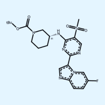 CC(C)(C)OC(=O)N1CCC[C@@H](Nc2nc(-c3cnc4ccc(F)cn34)ncc2S(C)(=O)=O)C1